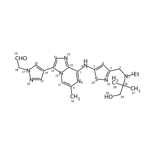 CCN(Cc1cc(Nc2nc(C)cn3c(-c4cnn(CC=O)c4)cnc23)sn1)C(C)(C)CO